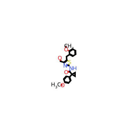 COc1ccc(C2(C(=O)Nc3nc(C=O)c(Cc4ccccc4OC)s3)CC2)cc1